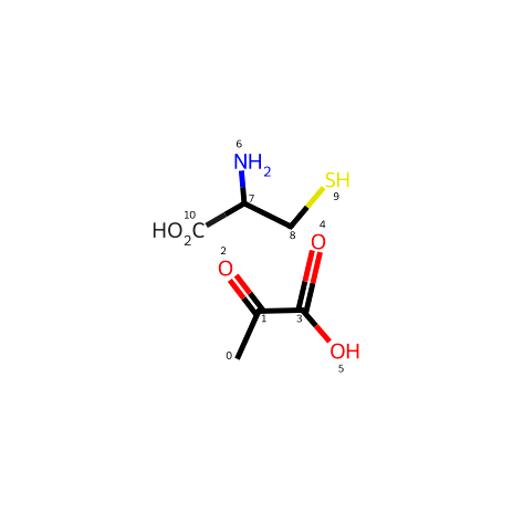 CC(=O)C(=O)O.NC(CS)C(=O)O